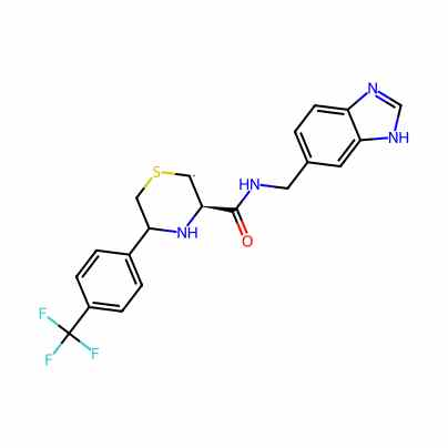 O=C(NCc1ccc2nc[nH]c2c1)[C@@H]1[CH]SCC(c2ccc(C(F)(F)F)cc2)N1